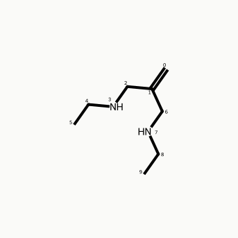 C=C(CNCC)CNCC